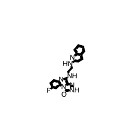 O=c1[nH]nc2c(NCCNc3ccc4ccccc4n3)nc3ccc(F)cc3n12